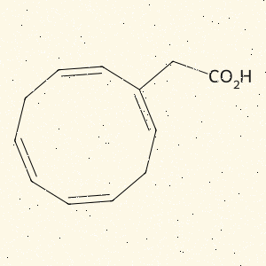 O=C(O)CC1=C/C/C=C\C=C/C/C=C\1